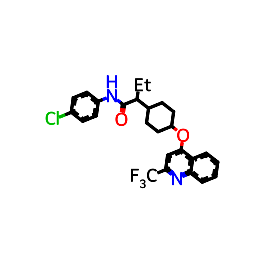 CCC(C(=O)Nc1ccc(Cl)cc1)C1CCC(Oc2cc(C(F)(F)F)nc3ccccc23)CC1